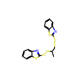 CC(CSSc1nc2ccccc2s1)SSc1nc2ccccc2s1